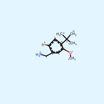 COc1cc(CN)c(Br)cc1C(C)(C)C